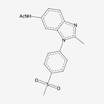 CC(=O)Nc1ccc2nc(C)n(-c3ccc(S(C)(=O)=O)cc3)c2c1